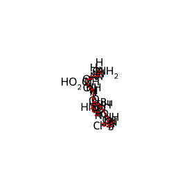 Cc1ncsc1-c1ccc([C@H](C)NC(=O)[C@@H]2C[C@@H](OC(=O)CCCCn3cc(CNC(=O)CC[C@H](NC(=O)c4ccc(NCc5cnc6nc(N)[nH]c(=O)c6n5)cc4)C(=O)O)nn3)CN2C(=O)[C@@H](NC(=O)COCCCOCCNC(=O)C[C@@H]2N=C(c3ccc(Cl)cc3)c3c(sc(C)c3C)-n3c(C)nnc32)C(C)(C)C)cc1